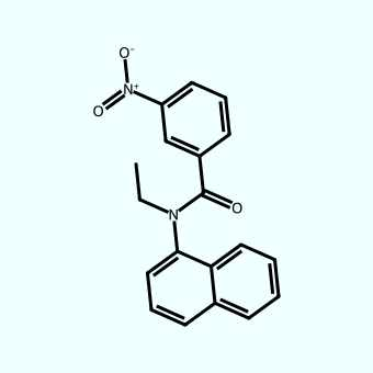 CCN(C(=O)c1cccc([N+](=O)[O-])c1)c1cccc2ccccc12